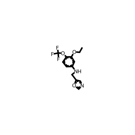 CCOc1cc(NCc2cnco2)ccc1OC(F)(F)F